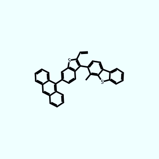 C=Cc1sc2cc(-c3c4ccccc4cc4ccccc34)ccc2c1-c1ccc2c(sc3ccccc32)c1C